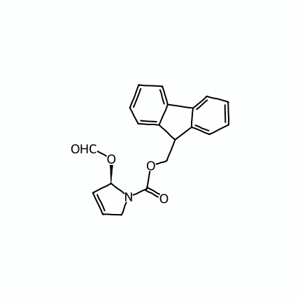 O=CO[C@@H]1C=CCN1C(=O)OCC1c2ccccc2-c2ccccc21